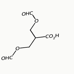 O=COCC(COC=O)C(=O)O